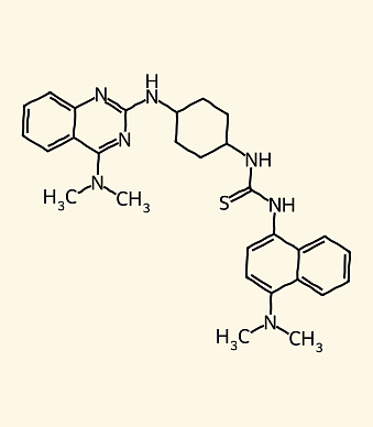 CN(C)c1nc(NC2CCC(NC(=S)Nc3ccc(N(C)C)c4ccccc34)CC2)nc2ccccc12